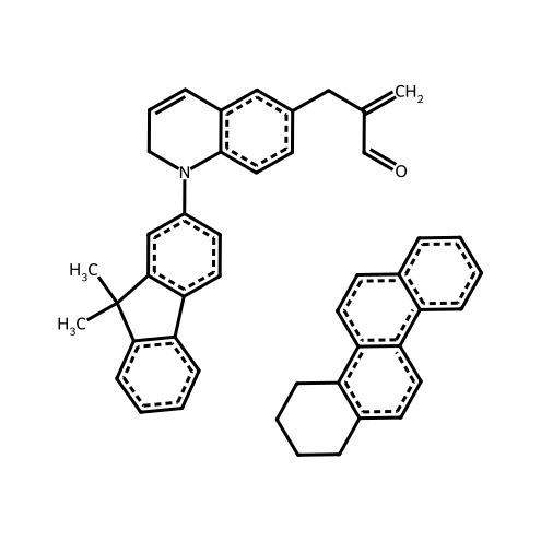 C=C(C=O)Cc1ccc2c(c1)C=CCN2c1ccc2c(c1)C(C)(C)c1ccccc1-2.c1ccc2c(c1)ccc1c3c(ccc12)CCCC3